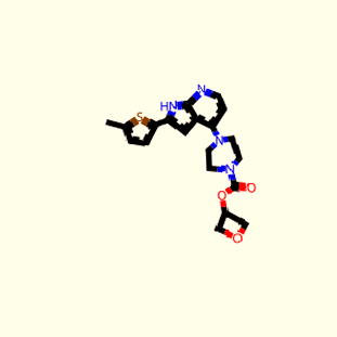 Cc1ccc(-c2cc3c(N4CCN(C(=O)OC5COC5)CC4)ccnc3[nH]2)s1